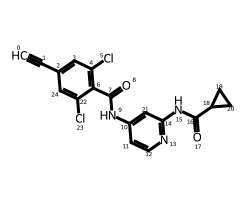 C#Cc1cc(Cl)c(C(=O)Nc2ccnc(NC(=O)C3CC3)c2)c(Cl)c1